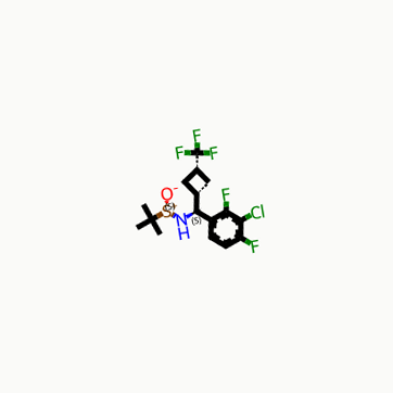 CC(C)(C)[S@@+]([O-])N[C@H](c1ccc(F)c(Cl)c1F)[C@H]1C[C@@H](C(F)(F)F)C1